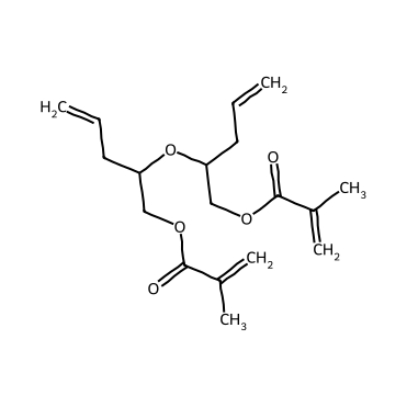 C=CCC(COC(=O)C(=C)C)OC(CC=C)COC(=O)C(=C)C